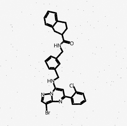 O=C(NCc1cccc(CNc2cc(-c3ccccc3Cl)nc3c(Br)cnn23)c1)C1CCc2ccccc2C1